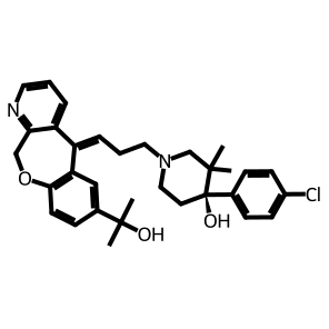 CC(C)(O)c1ccc2c(c1)/C(=C\CCN1CC[C@@](O)(c3ccc(Cl)cc3)C(C)(C)C1)c1cccnc1CO2